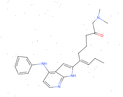 CC/C=C(\CCCC(=O)CN(C)C)c1cc2c(Nc3ccccc3)ccnc2[nH]1